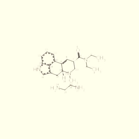 CCN(CC)C(=O)[C@@H]1C=C2c3cccc4[nH]cc(c34)C[C@H]2N(C)C1.NCCN